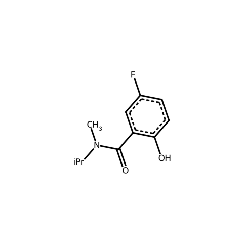 CC(C)N(C)C(=O)c1cc(F)ccc1O